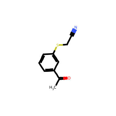 CC(=O)c1cccc(SCC#N)c1